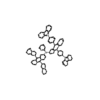 c1ccc(N(c2ccc3c(-c4ccc(-n5c6ccccc6c6ccccc65)cc4)c4ccccc4c(-c4ccc(-n5c6ccccc6c6ccccc65)cc4)c3c2)c2ccc3c(-c4ccc5ccccc5c4)c4ccccc4c(-c4ccc5ccccc5c4)c3c2)nc1